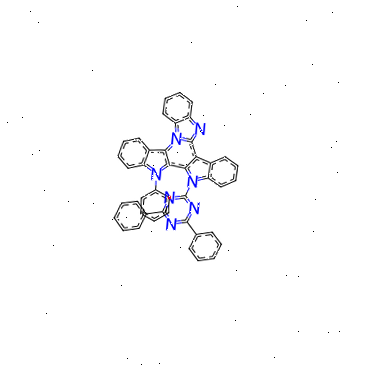 c1ccc(-c2nc(-c3ccccc3)nc(-n3c4ccccc4c4c3c3c(c5ccccc5n3-c3ccccc3)n3c5ccccc5nc43)n2)cc1